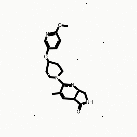 COc1ccc(OC2CCN(C3=NC4CNC(=O)C4C=C3C)CC2)cn1